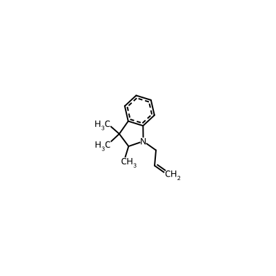 C=CCN1c2ccccc2C(C)(C)C1C